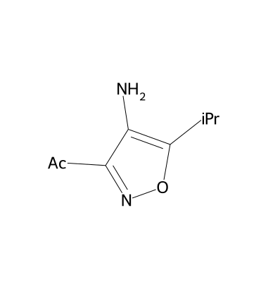 CC(=O)c1noc(C(C)C)c1N